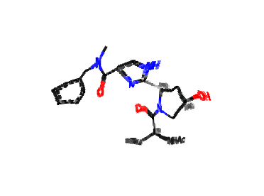 CC(=O)N[C@H](C(=O)N1C[C@H](O)C[C@H]1c1nc(C(=O)N(C)Cc2ccccc2)c[nH]1)C(C)(C)C